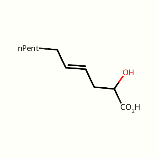 CCCCCCC=CCC(O)C(=O)O